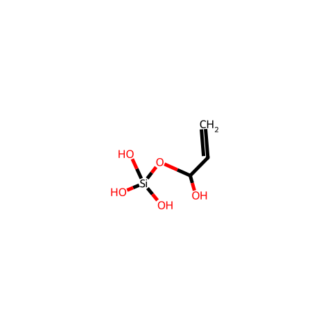 C=CC(O)O[Si](O)(O)O